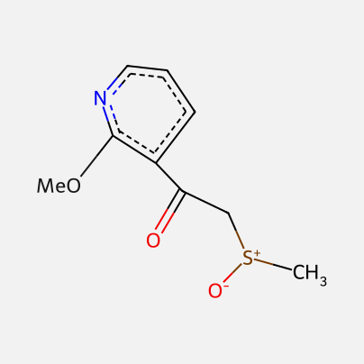 COc1ncccc1C(=O)C[S+](C)[O-]